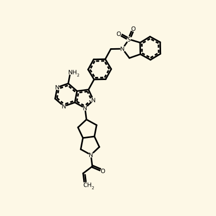 C=CC(=O)N1CC2CC(n3nc(-c4ccc(CN5Cc6ccccc6S5(=O)=O)cc4)c4c(N)ncnc43)CC2C1